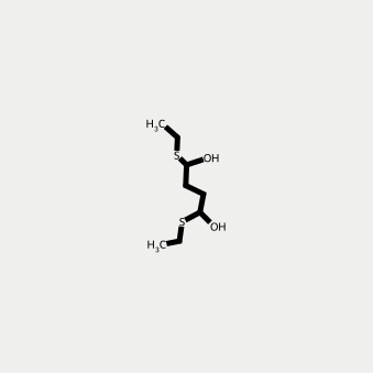 CCSC(O)CCC(O)SCC